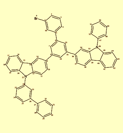 Brc1cccc(-c2cc(-c3ccc4c(c3)c3ccccc3n4-c3cccc(-c4ccccc4)c3)cc(-c3ccc4c5ccccc5n(-c5ccccc5)c4c3)c2)c1